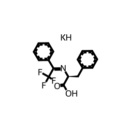 O=C(O)[C@H](Cc1ccccc1)N=C(c1ccccc1)C(F)(F)F.[KH]